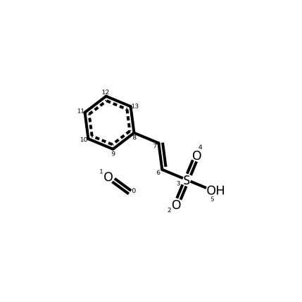 C=O.O=S(=O)(O)C=Cc1ccccc1